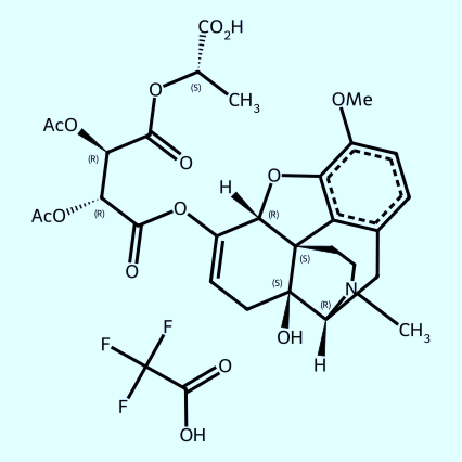 COc1ccc2c3c1O[C@H]1C(OC(=O)[C@H](OC(C)=O)[C@@H](OC(C)=O)C(=O)O[C@@H](C)C(=O)O)=CC[C@@]4(O)[C@@H](C2)N(C)CC[C@]314.O=C(O)C(F)(F)F